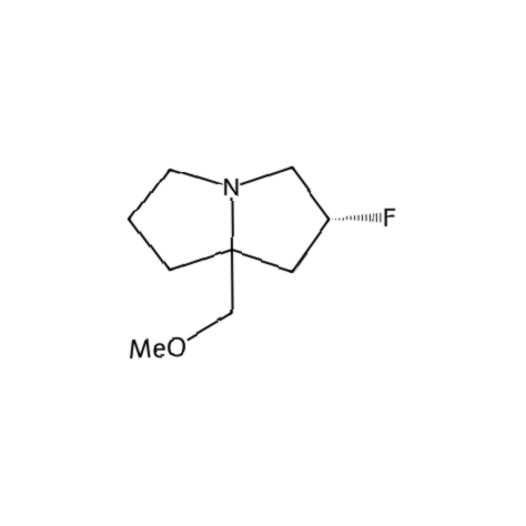 COCC12CCCN1C[C@H](F)C2